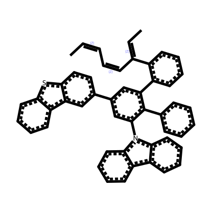 C\C=C/C=C\C(=C\C)c1ccccc1-c1cc(-c2ccc3sc4ccccc4c3c2)cc(-n2c3ccccc3c3ccccc32)c1-c1ccccc1